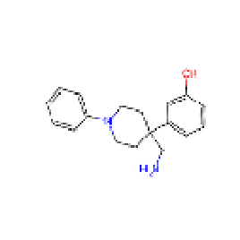 NCC1(c2cccc(O)c2)CCN(c2ccccc2)CC1